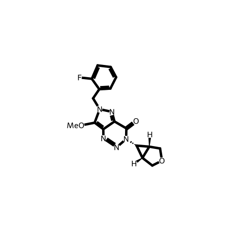 COc1c2nnn([C@@H]3[C@@H]4COC[C@@H]43)c(=O)c2nn1Cc1ccccc1F